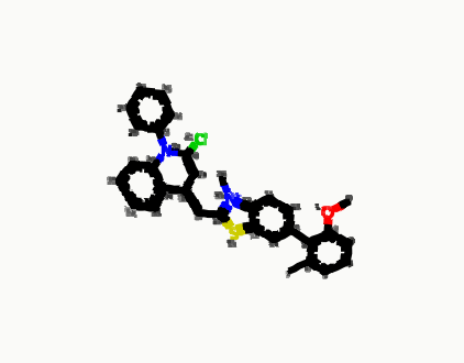 COc1cccc(C)c1-c1ccc2c(c1)sc(C=C1C=C(Cl)N(c3ccccc3)c3ccccc31)[n+]2C